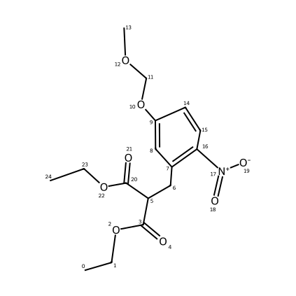 CCOC(=O)C(Cc1cc(OCOC)ccc1[N+](=O)[O-])C(=O)OCC